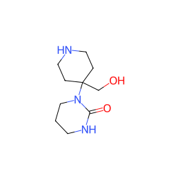 O=C1NCCCN1C1(CO)CCNCC1